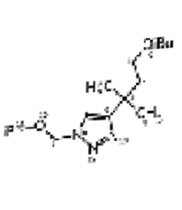 CC(C)COCCC(C)(C)c1cn(COC(C)C)nn1